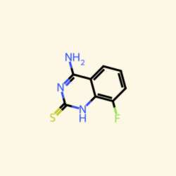 Nc1nc(=S)[nH]c2c(F)cccc12